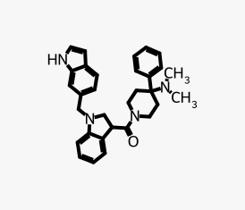 CN(C)C1(c2ccccc2)CCN(C(=O)C2CN(Cc3ccc4cc[nH]c4c3)c3ccccc32)CC1